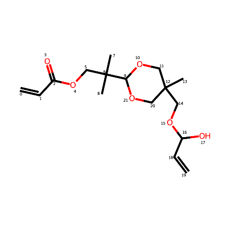 C=CC(=O)OCC(C)(C)C1OCC(C)(COC(O)C=C)CO1